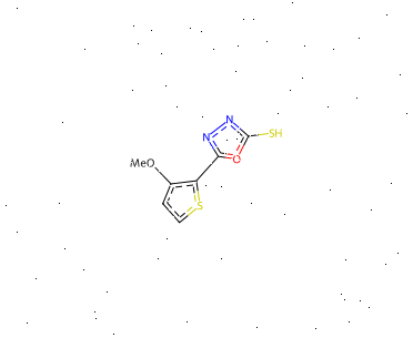 COc1ccsc1-c1nnc(S)o1